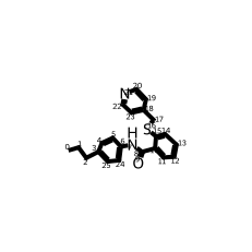 CCCc1ccc(NC(=O)c2ccccc2SCc2ccncc2)cc1